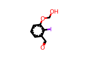 O=Cc1cccc(OCO)c1I